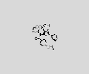 CC1CCC(C(=O)N(c2cc(-c3ccccc3)sc2C(=O)O)C2COCOC2)CC1